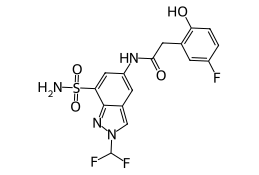 NS(=O)(=O)c1cc(NC(=O)Cc2cc(F)ccc2O)cc2cn(C(F)F)nc12